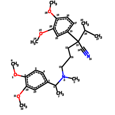 COc1ccc(C(C)N(C)CCCC(C#N)(c2ccc(OC)c(OC)c2)C(C)C)cc1OC